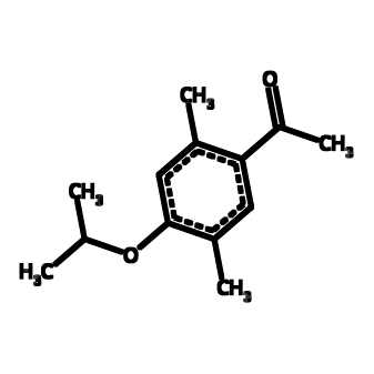 CC(=O)c1cc(C)c(OC(C)C)cc1C